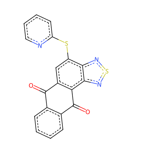 O=C1c2ccccc2C(=O)c2c1cc(Sc1ccccn1)c1nsnc21